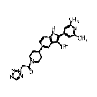 Cc1cc(-c2[nH]c3ccc(C4CCN(C(=O)Cn5ncnn5)CC4)cc3c2C(C)C)cc(C)n1